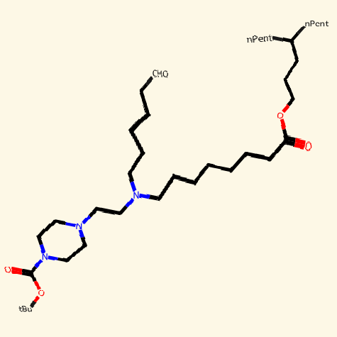 CCCCCC(CCCCC)CCCOC(=O)CCCCCCCN(CCCCCC=O)CCN1CCN(C(=O)OC(C)(C)C)CC1